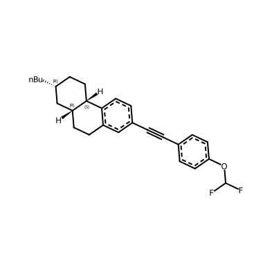 CCCC[C@@H]1CC[C@@H]2c3ccc(C#Cc4ccc(OC(F)F)cc4)cc3CC[C@@H]2C1